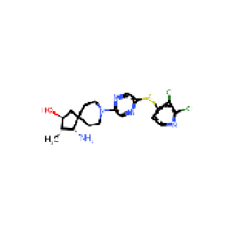 C[C@H]1[C@@H](N)C2(CCN(c3cnc(Sc4ccnc(Cl)c4Cl)cn3)CC2)C[C@@H]1O